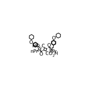 CCCN(Cc1ccc(OC2CCCCC2)cc1)C(=O)[C@H]1[C@H](C(=O)O)[C@H](C(=O)N(CCC)Cc2ccc(OC3CCCCC3)cc2)[C@H]1C(=O)O